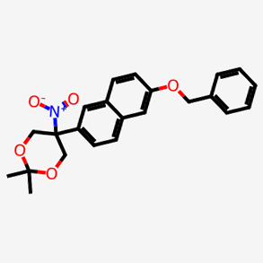 CC1(C)OCC(c2ccc3cc(OCc4ccccc4)ccc3c2)([N+](=O)[O-])CO1